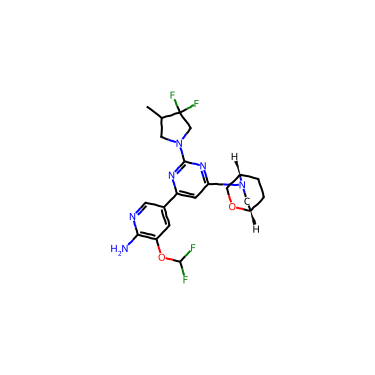 CC1CN(c2nc(-c3cnc(N)c(OC(F)F)c3)cc(N3C[C@@H]4CC[C@H]3CO4)n2)CC1(F)F